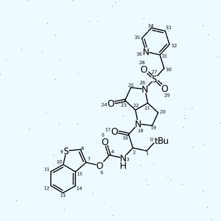 CC(C)(C)CC(NC(=O)Oc1csc2ccccc12)C(=O)N1CCC2C1C(=O)CN2S(=O)(=O)Cc1ccccn1